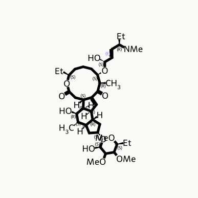 CC[C@H]1CCC[C@H](O[C@H](O)/C=C/[C@@H](CC)NC)[C@@H](C)C(=O)C2=C[C@H]3[C@@H]4C[C@H](O[C@H](O)C(OC)C(OC)[C@H](CC)OC)C[C@H]4[C@H](C)[C@@H](O)[C@H]3[C@@H]2CC(=O)O1